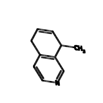 CC1C=CCc2ccncc21